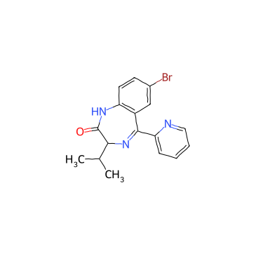 CC(C)C1N=C(c2ccccn2)c2cc(Br)ccc2NC1=O